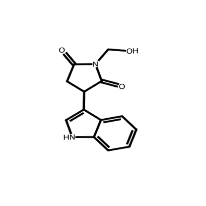 O=C1CC(c2c[nH]c3ccccc23)C(=O)N1CO